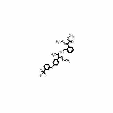 CON=C(C(C)=NOCc1ccccc1C(=NOC)C(=O)OC)c1ccc(Oc2cccc(C(F)(F)F)c2)cc1